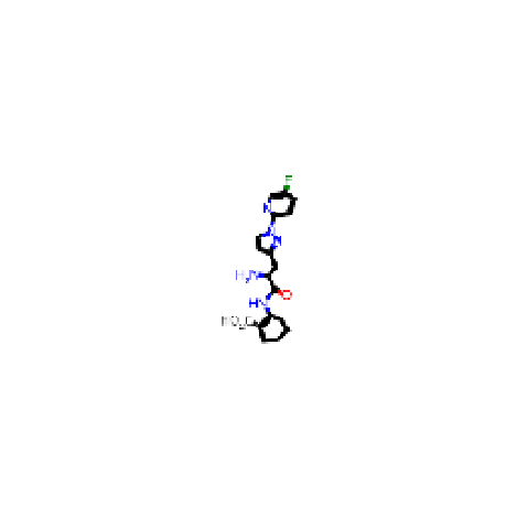 NC(Cc1ccn(-c2ccc(F)cn2)n1)C(=O)NC1=C(C(=O)O)CCCC1